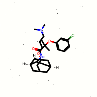 CN(C)CCCO[C@@]12CC3C[C@H](C1)[C@H](NC(=O)C(C)(C)Oc1cccc(Cl)c1)[C@@H](C3)C2